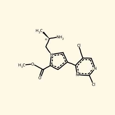 COC(=O)c1cc(-c2nc(Cl)ncc2Cl)cn1C[C@@H](C)N